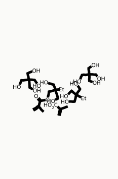 C=C(C)C(=O)O.C=C(C)C(=O)OCC(CC)(CO)CO.CCC(CO)(CO)CO.OCC(CO)(CO)CO.OCC(CO)(CO)CO